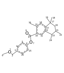 COCc1ccc(OC(=O)c2cc3c(cc2C)C(C)(C)CC(C)C3C)cc1